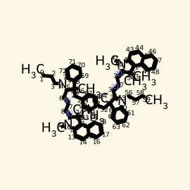 CCCC[N+]1=C(/C=C/C=C2/N(C)c3ccc4ccccc4c3C2(C)C)C(C)(Cc2ccc(CC3(C)C(/C=C/C=C4/N(C)c5ccc6ccccc6c5C4(C)C)=[N+](CCCC)c4ccccc43)cc2)c2ccccc21